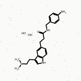 CN(C)CCc1c[nH]c2ccc(CCC(=O)NCc3ccc(N)cc3)cc12.Cl.Cl